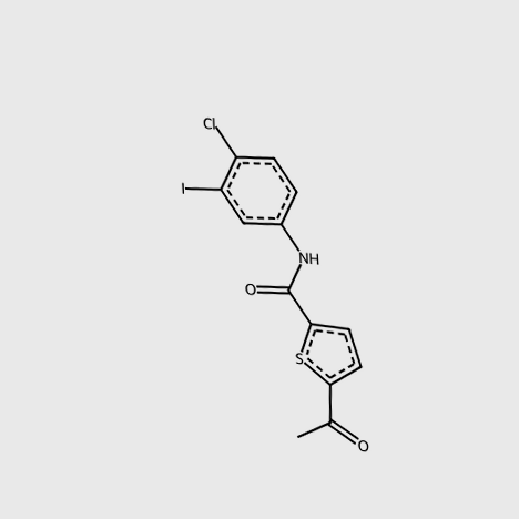 CC(=O)c1ccc(C(=O)Nc2ccc(Cl)c(I)c2)s1